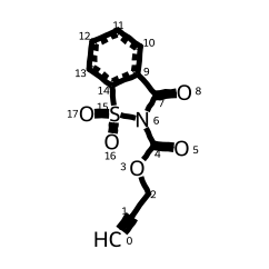 C#CCOC(=O)N1C(=O)c2ccccc2S1(=O)=O